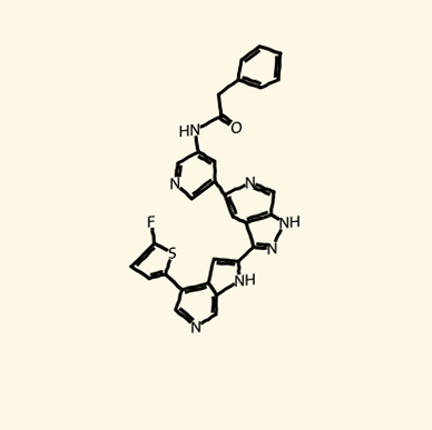 O=C(Cc1ccccc1)Nc1cncc(-c2cc3c(-c4cc5c(-c6ccc(F)s6)cncc5[nH]4)n[nH]c3cn2)c1